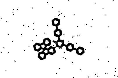 CN1C(c2ccc(-c3ccccc3)cc2)=NC(c2ccc(-c3ccccc3)cc2)=N[C@@H]1c1ccc2c(c1)C1(c3ccccc3-c3ccccc31)c1ccccc1-2